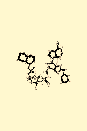 Nc1ncnc2c1ncn2[C@@H]1O[C@H](COP(=O)(O)OP(=O)(O)OP(=O)(O)OP(=O)(I)Cc2cccc3ccccc23)C2OC(Cc3ccccc3)O[C@@H]21